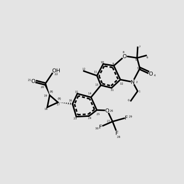 CCN1C(=O)C(C)(C)Oc2cc(C)c(-c3cc([C@@H]4C[C@H]4C(=O)O)ccc3OC(F)(F)F)cc21